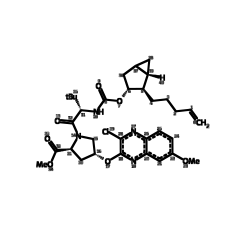 C=CCCC[C@H]1[C@H](OC(=O)N[C@H](C(=O)N2C[C@H](Oc3nc4cc(OC)ccc4nc3Cl)C[C@H]2C(=O)OC)C(C)(C)C)CC2C[C@@H]21